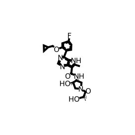 Cc1[nH]c2c(-c3ccc(F)cc3OCC3CC3)ncnc2c1C(=O)N[C@@H]1CN(C(=O)[C@H](C)O)C[C@H]1O